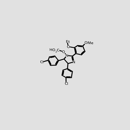 CCOc1cc(OC)ccc1C1=NC(c2ccc(Cl)cc2)C(c2ccc(Cl)cc2)N1OC(=O)O